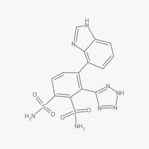 NS(=O)(=O)c1ccc(-c2cccc3[nH]cnc23)c(-c2nn[nH]n2)c1S(N)(=O)=O